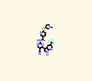 C[C@@H](Nc1ncc(C#N)c(-c2c[nH]c3ncc(C(F)(F)F)cc23)n1)c1ccc(O[C@@H]2CCN(C)C2)nc1